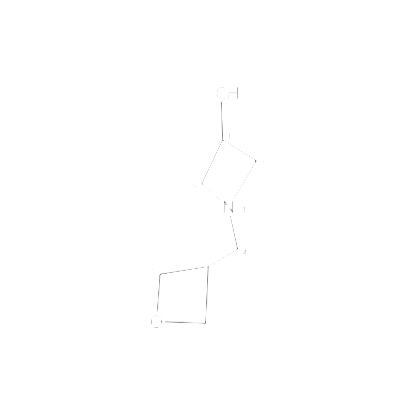 CC1CN(CC2COC2)C1